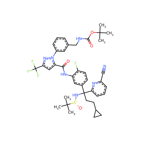 CC(C)(C)OC(=O)NCc1cccc(-n2nc(C(F)(F)F)cc2C(=O)Nc2cc(C(CCC3CC3)(N[S@+]([O-])C(C)(C)C)c3cccc(C#N)n3)ccc2F)c1